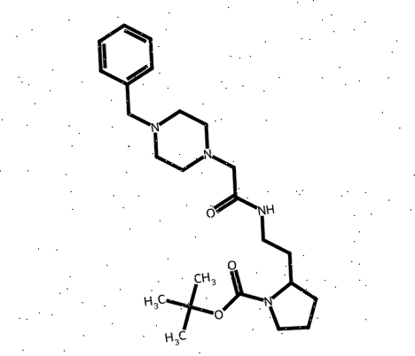 CC(C)(C)OC(=O)N1CCCC1CCNC(=O)CN1CCN(Cc2ccccc2)CC1